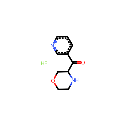 F.O=C(c1cccnc1)C1COCCN1